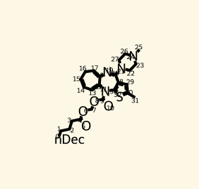 CCCCCCCCCCCCCC(=O)OCOC(=O)N1C2=CC=CCC=C2N=C(N2CCN(C)CC2)c2cc(C)sc21